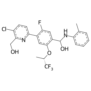 Cc1ccccc1NC(O)c1cc(F)c(-c2ccc(Cl)c(CO)n2)cc1O[C@@H](C)C(F)(F)F